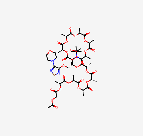 CC(=O)OCC(=O)O[C@@H](C)C(=O)O[C@@H](C)C(=O)O[C@@H](C)C(=O)O[C@@H](C)C(=O)O[C@@H](C)C(=O)O[C@H](COc1nsnc1N1CCOCC1)CN(C(=O)[C@H](C)OC(=O)[C@H](C)OC(=O)[C@H](C)OC(=O)[C@H](C)OC(=O)[C@H](C)OC(=O)[C@H](C)OC(C)=O)C(C)(C)C